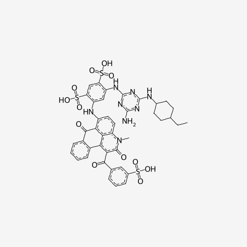 CCC1CCC(Nc2nc(N)nc(Nc3cc(Nc4ccc5c6c4C(=O)c4ccccc4-c6c(C(=O)c4cccc(S(=O)(=O)O)c4)c(=O)n5C)c(S(=O)(=O)O)cc3S(=O)(=O)O)n2)CC1